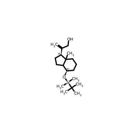 C=C(CO)[C@@H]1CCC2[C@H](O[Si](C)(C)C(C)(C)C)CCCC21C